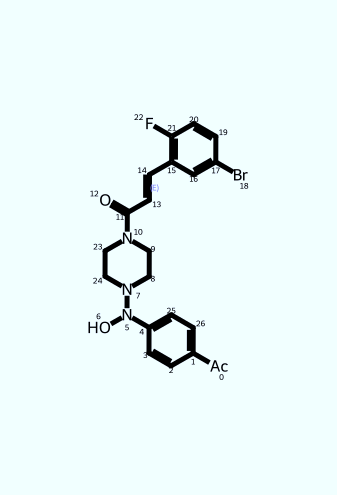 CC(=O)c1ccc(N(O)N2CCN(C(=O)/C=C/c3cc(Br)ccc3F)CC2)cc1